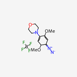 COC1=CC(=[N+]=[N-])C(OC)C=C1N1CCOCC1.F[B-](F)(F)F